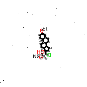 CCOC1=C=C2CCC3C(=CC[C@@]4(C)C3CC[C@]4(O)[C@H](Cl)[Si](C)(C)OC#N)[C@@]2(C)CC1